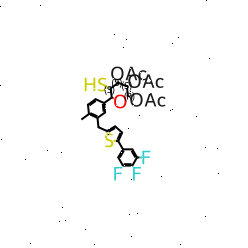 CC(=O)O[C@H]1OC(c2ccc(C)c(Cc3ccc(-c4cc(F)c(F)c(F)c4)s3)c2)[C@H](S)[C@@H](OC(C)=O)[C@@H]1OC(C)=O